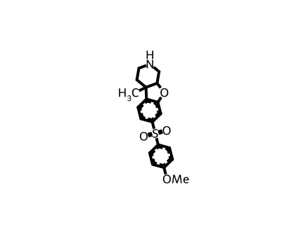 COc1ccc(S(=O)(=O)c2ccc3c(c2)OC2CNCCC32C)cc1